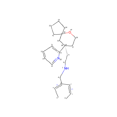 C/C=C\C(=C/C)CNCC[C@@]1(c2ccccn2)CCOC2(CCCC2)C1